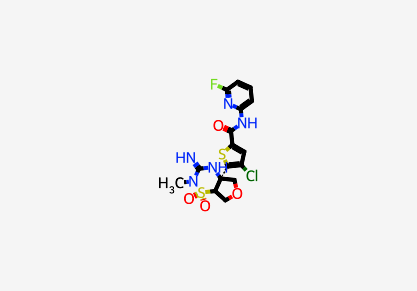 CN1C(=N)N[C@@]2(c3sc(C(=O)Nc4cccc(F)n4)cc3Cl)COCC2S1(=O)=O